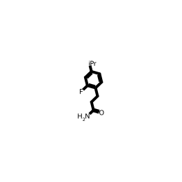 CC(C)c1ccc(CCC(N)=O)c(F)c1